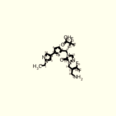 CCn1cc(-c2ccc(Cn3cnn(CC(CN)=C(F)F)c3=O)s2)cn1.O=C(O)C(F)(F)F